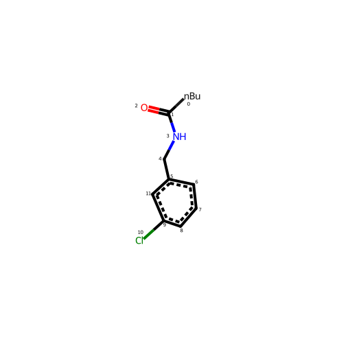 CCCCC(=O)NCc1cccc(Cl)c1